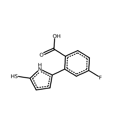 O=C(O)c1ccc(F)cc1-c1ccc(S)[nH]1